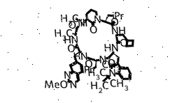 C=CC(C)(C)n1cc(C[C@@H]2NC(=O)C(CC3CCC3)NC(=O)[C@H](CC(C)C)N3CCC[C@@H](C3=O)N(C)C(=O)[C@H](C)NC(=O)[C@H](Cc3ccc4cnc(OC)nc4c3)NC(=O)[C@H](CC(C)C)N(C)C2=O)c2ccccc21